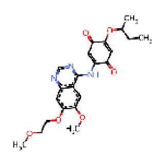 CCC(C)OC1=CC(=O)C(Nc2ncnc3cc(OCCOC)c(OC)cc23)=CC1=O